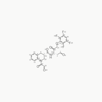 O=CC[C@H](NC(=O)[C@H]1Cc2ccccc2N(C(=O)C=O)C1)C(=O)COc1c(F)c(F)cc(F)c1F